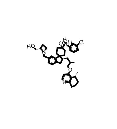 C[C@@H](COc1ccnc2c1[C@H](C)CCC2)C[C@H]1Cc2ccc(CN3CC[C@H]3CO)cc2C12CCC(Nc1cccc(Cl)c1)(C(=O)O)CC2